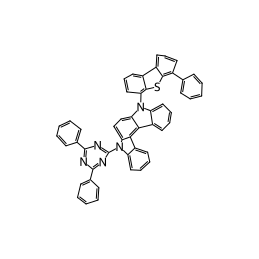 c1ccc(-c2nc(-c3ccccc3)nc(-n3c4ccccc4c4c5c6ccccc6n(-c6cccc7c6sc6c(-c8ccccc8)cccc67)c5ccc43)n2)cc1